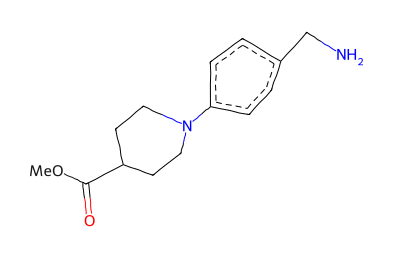 COC(=O)C1CCN(c2ccc(CN)cc2)CC1